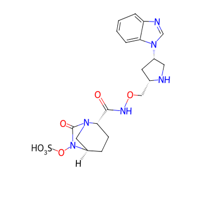 O=C(NOC[C@@H]1C[C@H](n2cnc3ccccc32)CN1)[C@@H]1CC[C@@H]2CN1C(=O)N2OS(=O)(=O)O